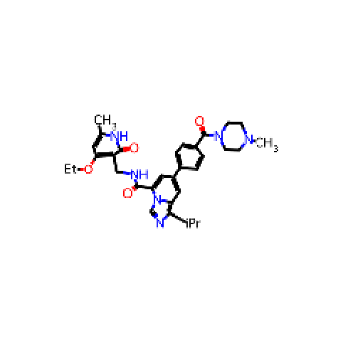 CCOc1cc(C)[nH]c(=O)c1CNC(=O)c1cc(-c2ccc(C(=O)N3CCN(C)CC3)cc2)cc2c(C(C)C)ncn12